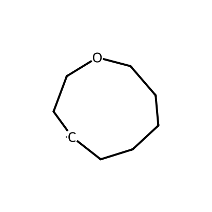 [CH]1CCCCCOCC1